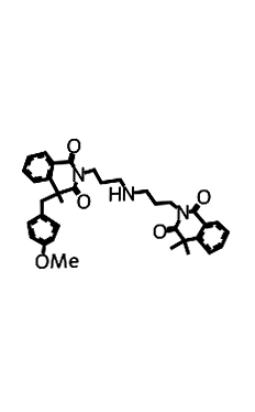 COc1ccc(CC2(C)C(=O)N(CCCNCCCN3C(=O)c4ccccc4C(C)(C)C3=O)C(=O)c3ccccc32)cc1